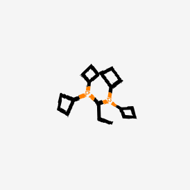 CCC(P(C1CCC1)C1CCC1)P(C1CCC1)C1CCC1